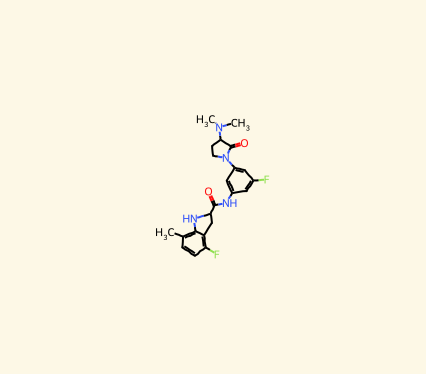 Cc1ccc(F)c2c1NC(C(=O)Nc1cc(F)cc(N3CCC(N(C)C)C3=O)c1)C2